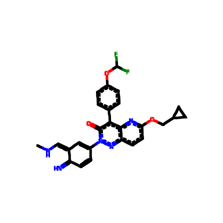 CN/C=C1/C=C(n2nc3ccc(OCC4CC4)nc3c(-c3ccc(OC(F)F)cc3)c2=O)C=CC1=N